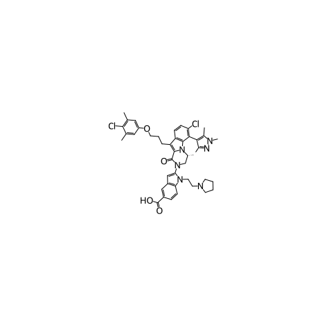 Cc1cc(OCCCc2c3n(c4c(-c5c(C)nn(C)c5C)c(Cl)ccc24)[C@H](C)CN(c2cc4cc(C(=O)O)ccc4n2CCN2CCCC2)C3=O)cc(C)c1Cl